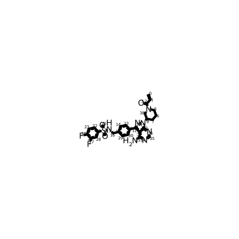 C=CC(=O)N1CCCC(n2nc(-c3ccc(CNS(=O)(=O)c4ccc(F)c(F)c4)cc3)c3c(N)ncnc32)C1